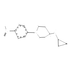 O=[N+]([O-])c1ccc(N2CCC(NC3CC3)CC2)cc1